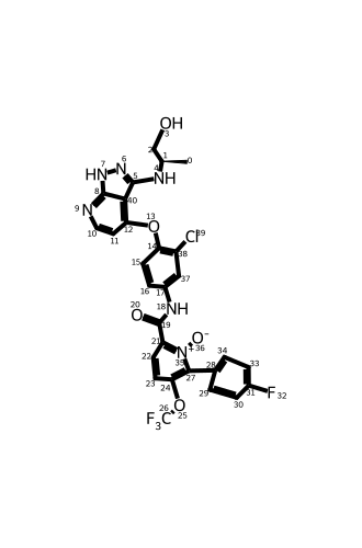 C[C@H](CO)Nc1n[nH]c2nccc(Oc3ccc(NC(=O)c4ccc(OC(F)(F)F)c(-c5ccc(F)cc5)[n+]4[O-])cc3Cl)c12